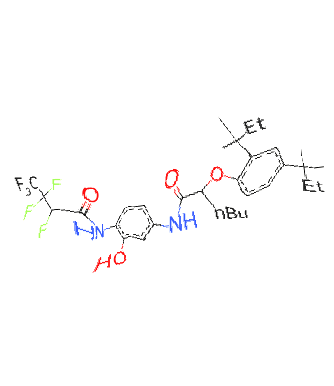 CCCCC(Oc1ccc(C(C)(C)CC)cc1C(C)(C)CC)C(=O)Nc1ccc(NC(=O)C(F)C(F)(F)C(F)(F)F)c(O)c1